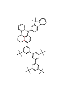 CC(C)(C)c1cc(-c2ccc(N(c3ccc4c(c3)C(C)(C)c3ccccc3-4)c3ccccc3C3CCCCC3)cc2)cc(-c2cc(-c3cc(C(C)(C)C)cc(C(C)(C)C)c3)cc(C(C)(C)C)c2)c1